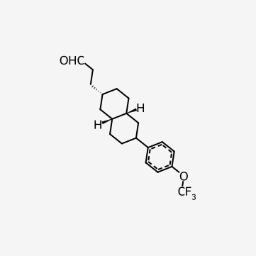 O=CCC[C@@H]1CC[C@@H]2CC(c3ccc(OC(F)(F)F)cc3)CC[C@@H]2C1